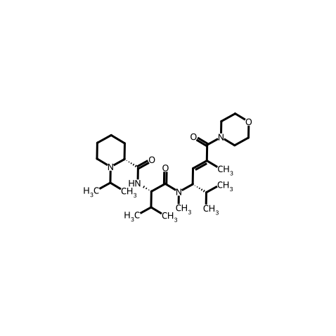 C/C(=C\[C@H](C(C)C)N(C)C(=O)[C@@H](NC(=O)[C@H]1CCCCN1C(C)C)C(C)C)C(=O)N1CCOCC1